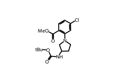 COC(=O)c1ccc(Cl)cc1N1CCC(NC(=O)OC(C)(C)C)C1